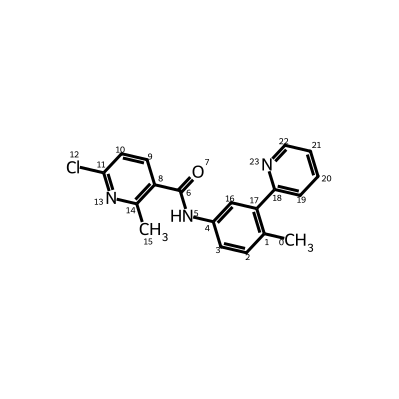 Cc1ccc(NC(=O)c2ccc(Cl)nc2C)cc1-c1ccccn1